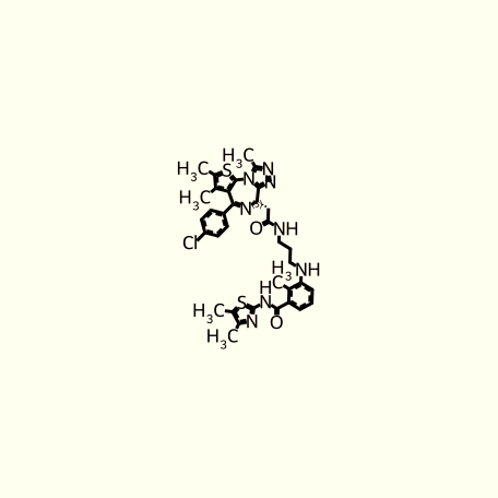 Cc1nc(NC(=O)c2cccc(NCCCNC(=O)C[C@@H]3N=C(c4ccc(Cl)cc4)c4c(sc(C)c4C)-n4c(C)nnc43)c2C)sc1C